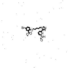 COC(=O)c1cc(Br)ccc1OCCCCCn1cnnc1-c1cccc(NC=O)n1